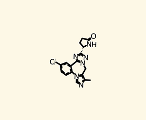 Cc1ncn2c1Cn1nc([C@@H]3CCC(=O)N3)nc1-c1cc(Cl)ccc1-2